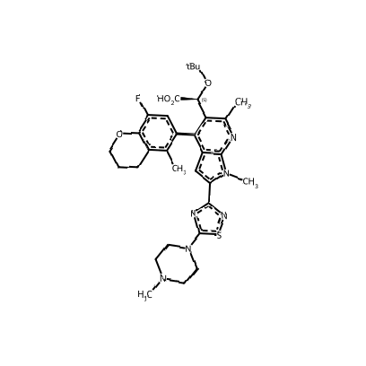 Cc1nc2c(cc(-c3nsc(N4CCN(C)CC4)n3)n2C)c(-c2cc(F)c3c(c2C)CCCO3)c1[C@H](OC(C)(C)C)C(=O)O